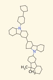 CC1(C)C2CCCCC2C2CC(N3C4CCCCC4C4CC(C5CCC6C(C5)C5CCCCC5N6C5CCC(C6CCCCC6)CC5)CCC43)CCC21